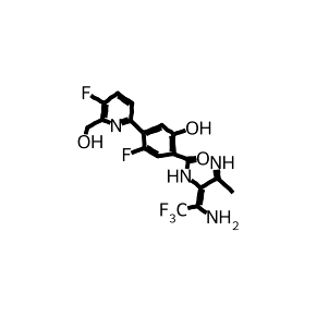 CC(=N)/C(NC(=O)c1cc(F)c(-c2ccc(F)c(CO)n2)cc1O)=C(\N)C(F)(F)F